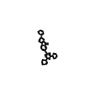 c1ccc(-c2ccc3c(c2)[nH]c2cc(-c4nc(-c5ccccc5)nc(-c5ccccc5)n4)ccc23)cc1